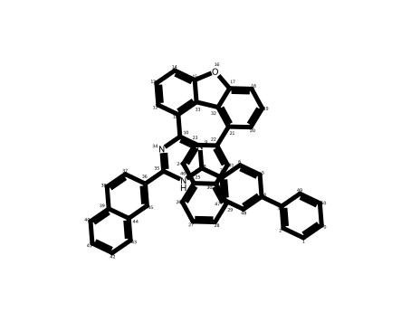 c1ccc(-c2ccc(C3N=C(c4cccc5oc6cccc(-c7ccc8ccccc8c7)c6c45)N=C(c4ccc5ccccc5c4)N3)cc2)cc1